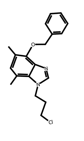 Cc1cc(C)c2c(ncn2CCCCl)c1OCc1ccccc1